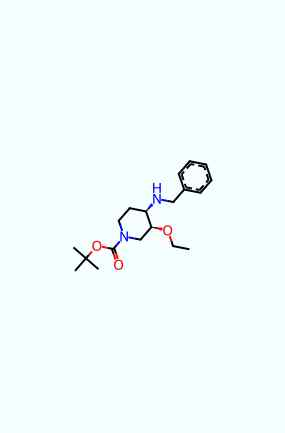 CCO[C@H]1CN(C(=O)OC(C)(C)C)CC[C@H]1NCc1ccccc1